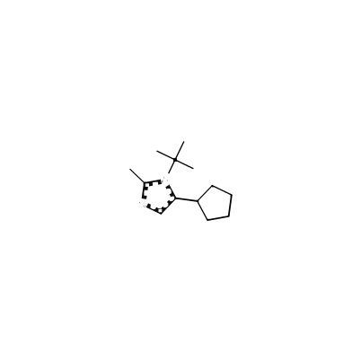 Cc1ncc(C2CCCC2)n1C(C)(C)C